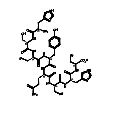 CC(C)C[C@H](NC(=O)[C@H](Cc1c[nH]cn1)NC(=O)[C@H](CO)NC(=O)[C@H](CCC(N)=O)NC(=O)[C@H](Cc1ccc(O)cc1)NC(=O)[C@H](CC(C)C)NC(=O)[C@H](CO)NC(=O)[C@@H](N)Cc1c[nH]cn1)C(=O)O